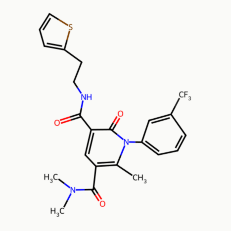 Cc1c(C(=O)N(C)C)cc(C(=O)NCCc2cccs2)c(=O)n1-c1cccc(C(F)(F)F)c1